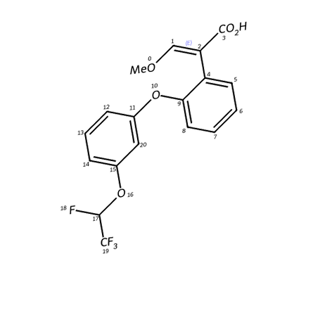 CO/C=C(/C(=O)O)c1ccccc1Oc1cccc(OC(F)C(F)(F)F)c1